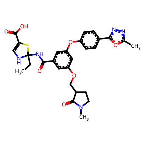 CCC1(NC(=O)c2cc(OCC3CCN(C)C3=O)cc(Oc3ccc(-c4nnc(C)o4)cc3)c2)NC=C(C(=O)O)S1